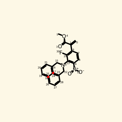 C=C(C(=O)OC)c1ccc([N+](=O)[O-])c(N(Cc2ccccc2)Cc2ccccc2)c1F